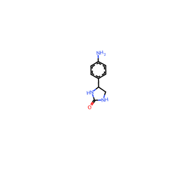 Nc1ccc(C2CNC(=O)N2)cc1